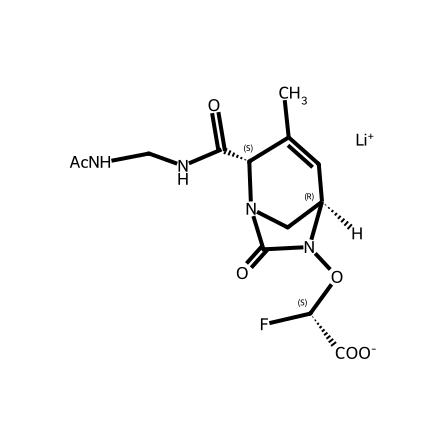 CC(=O)NCNC(=O)[C@@H]1C(C)=C[C@@H]2CN1C(=O)N2O[C@@H](F)C(=O)[O-].[Li+]